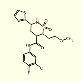 COCCN1C(C(=O)Nc2ccc(F)c(Cl)c2)CC(c2cccs2)NS1(=O)=O